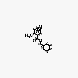 CC1CC23OC2(CC1C(=O)OCC1CCCCC1)O3